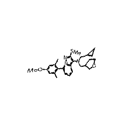 COc1cc(C)c(-c2cccc3c(N(CC4CC4)CC4CCOC4)c(SC)nn23)c(C)c1